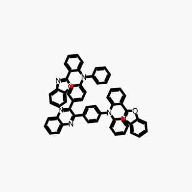 c1ccc(N(c2ccc(-c3nc4ccccc4nc3-c3ccc(N(c4ccccc4)c4ccccc4-c4nc5ccccc5o4)cc3)cc2)c2ccccc2-c2nc3ccccc3o2)cc1